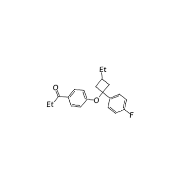 CCC(=O)c1ccc(OC2(c3ccc(F)cc3)CC(CC)C2)cc1